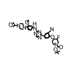 COc1cc(Nc2ncnc(-c3ccc(OC4CCN(C(=O)OC(C)(C)C)CC4F)c(C#N)c3)n2)ccc1N1CCN(C2COC2)CC1